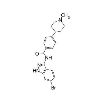 CN1CCC(c2ccc(C(=O)Nc3n[nH]c4cc(Br)ccc34)cc2)CC1